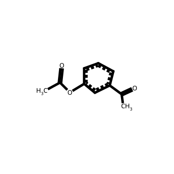 CC(=O)Oc1cccc(C(C)=O)c1